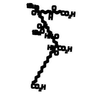 CC(C)(C)OC(=O)N(CCCCN(CCCNC(=O)CC[C@H](NC(=O)CCCCCCCCCCCCCC(=O)O)C(=O)O)C(=O)OC(C)(C)C)CCCNC(=O)CCC(=O)O